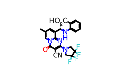 Cc1cc([C@@H](C)Nc2ccccc2C(=O)O)c2nc(N3CC(F)(F)C(F)(F)C3)c(C#N)c(=O)n2c1